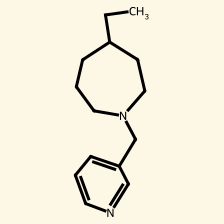 CCC1CCCN(Cc2cccnc2)CC1